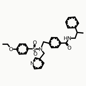 CCOc1ccc(S(=O)(=O)N(Cc2ccc(C(=O)NCC(C)c3ccccc3)cc2)Cc2cccnc2)cc1